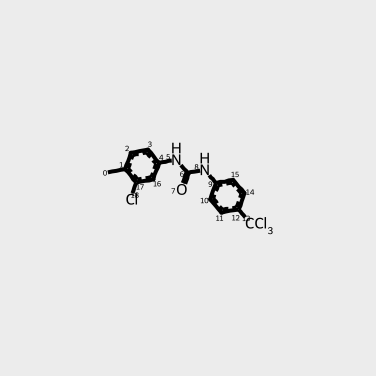 Cc1ccc(NC(=O)Nc2ccc(C(Cl)(Cl)Cl)cc2)cc1Cl